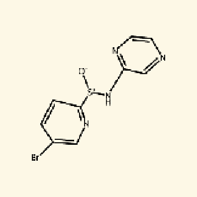 [O-][S+](Nc1cnccn1)c1ccc(Br)cn1